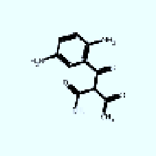 CC(=O)C(C(C)=O)C(=O)c1cc(N)ccc1N